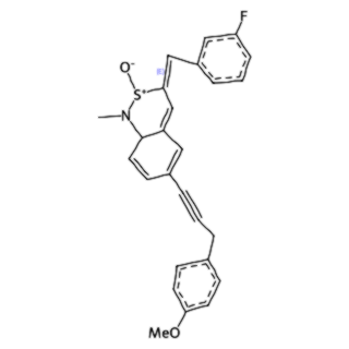 COc1ccc(CC#CC2=CC3=C/C(=C\c4cccc(F)c4)[S+]([O-])N(C)C3C=C2)cc1